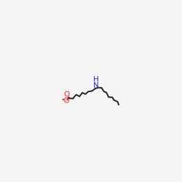 CCCCCCCCC1NC1CCCCCCCC(=O)OC